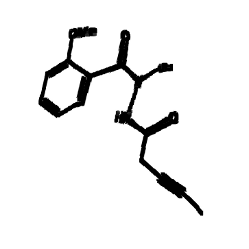 CC#CCC(=O)NN(C(=O)c1ccccc1OC)C(C)(C)C